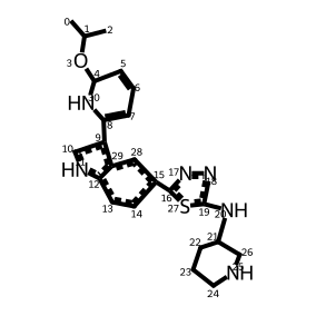 CC(C)OC1C=CC=C(c2c[nH]c3ccc(-c4nnc(NC5CCCNC5)s4)cc23)N1